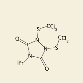 CC(C)n1c(=O)n(SC(Cl)(Cl)Cl)n(SC(Cl)(Cl)Cl)c1=O